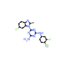 Cc1nc2ccc(F)cc2n1-c1nc(N)nc(Nc2ccc(Cl)c(F)c2)n1